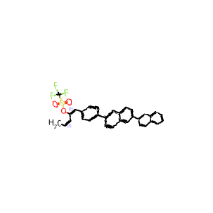 C/C=C\C(=C/c1ccc(-c2ccc3cc(-c4ccc5ccccc5c4)ccc3c2)cc1)OS(=O)(=O)C(F)(F)F